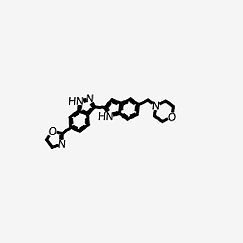 c1cc2[nH]c(-c3n[nH]c4cc(C5=NCCO5)ccc34)cc2cc1CN1CCOCC1